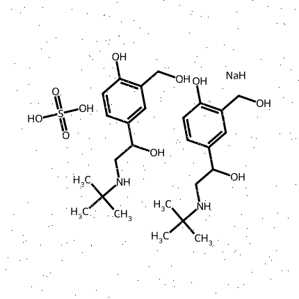 CC(C)(C)NCC(O)c1ccc(O)c(CO)c1.CC(C)(C)NCC(O)c1ccc(O)c(CO)c1.O=S(=O)(O)O.[NaH]